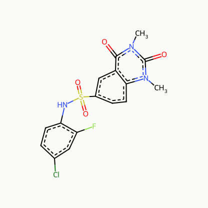 Cn1c(=O)c2cc(S(=O)(=O)Nc3ccc(Cl)cc3F)ccc2n(C)c1=O